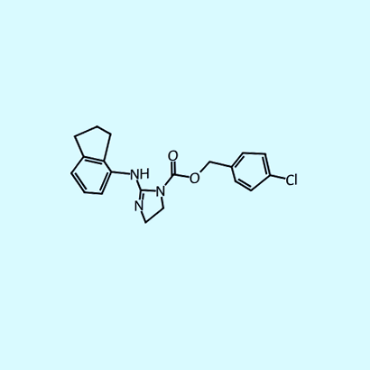 O=C(OCc1ccc(Cl)cc1)N1CCN=C1Nc1cccc2c1CCC2